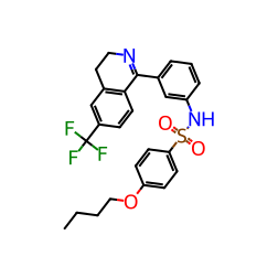 CCCCOc1ccc(S(=O)(=O)Nc2cccc(C3=NCCc4cc(C(F)(F)F)ccc43)c2)cc1